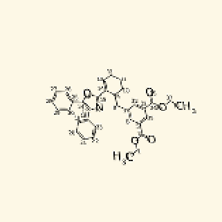 CCOC(=O)c1cc(CC2CCCC=C2c2nc(-c3ccccc3)c(-c3ccccc3)o2)cc(C(=O)OCC)c1